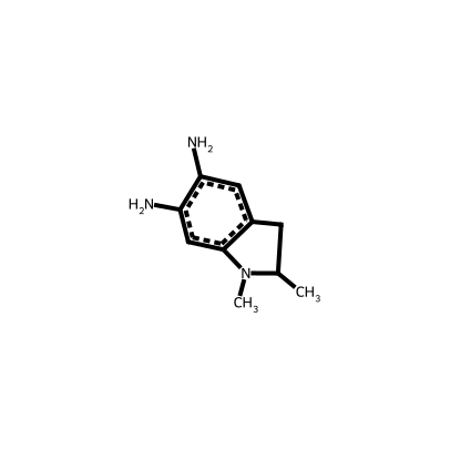 CC1Cc2cc(N)c(N)cc2N1C